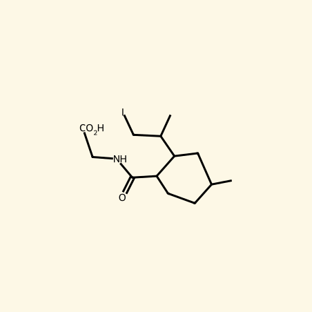 CC1CCC(C(=O)NCC(=O)O)C(C(C)CI)C1